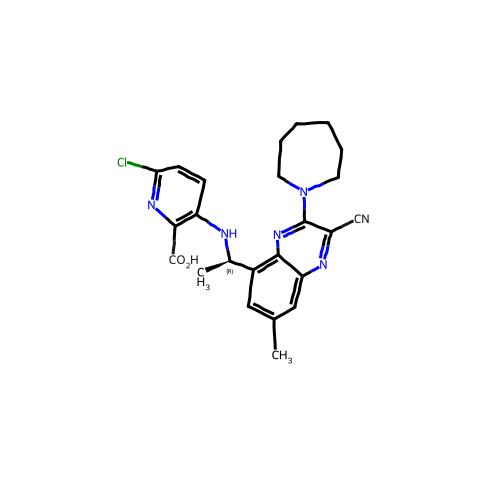 Cc1cc([C@@H](C)Nc2ccc(Cl)nc2C(=O)O)c2nc(N3CCCCCC3)c(C#N)nc2c1